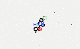 Cc1cccc2c(C3NCc4ccc(Cl)cc4-n4cccc43)occ12